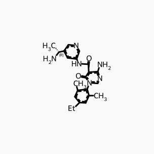 CCc1cc(C)c(-n2cnc(N)c(C(=O)Nc3cncc([C@@H](C)N)c3)c2=O)c(C)c1